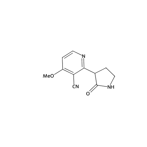 COc1ccnc(C2CCNC2=O)c1C#N